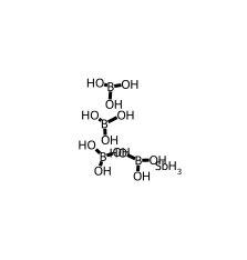 OB(O)O.OB(O)O.OB(O)O.OB(O)O.[SbH3]